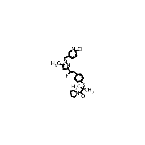 Cc1cc(/C(F)=C/c2ccc(SC(C)(C)C(=O)N3CCCC3)cc2)nn1Cc1ccc(Cl)nc1